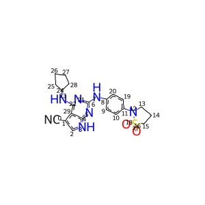 N#Cc1c[nH]c2nc(Nc3ccc(N4CCCS4(=O)=O)cc3)nc(NC3CCCC3)c12